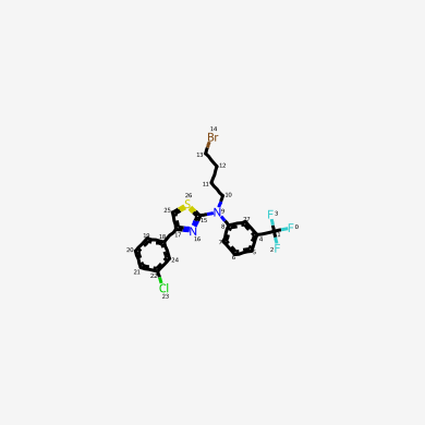 FC(F)(F)c1cccc(N(CCCCBr)c2nc(-c3cccc(Cl)c3)cs2)c1